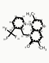 Cc1cnc2cc(C)c(=O)n(Cc3ncccc3C(F)(F)F)c2n1